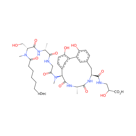 CCCCCCCCCCCCCCCC(=O)N(C)[C@H](CO)C(=O)N[C@H](C)C(=O)NCC(=O)N(C)[C@@H]1C(=O)N[C@@H](C)C(=O)N[C@H](C(=O)NCC(O)C(=O)O)Cc2ccc(O)c(c2)-c2cc1ccc2O